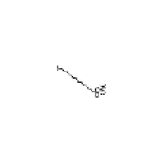 CC(C)CCCCCCCCCCCCCCC(=O)OC(=O)C(C)(C)C